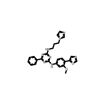 COc1cc(Nc2nc(NCCCn3ccnc3)nc(-c3ccccc3)n2)ccc1-c1cnco1